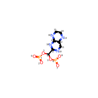 O=P(=O)OC(OP(=O)=O)c1ncc2nccnc2n1